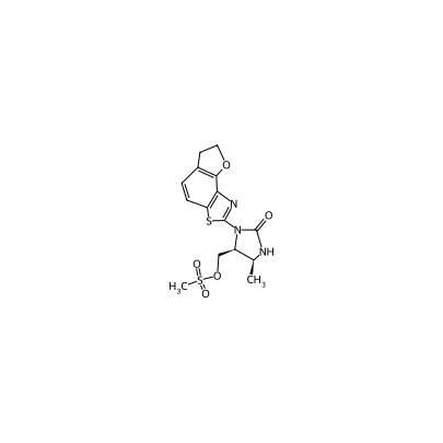 C[C@@H]1NC(=O)N(c2nc3c4c(ccc3s2)CCO4)[C@@H]1COS(C)(=O)=O